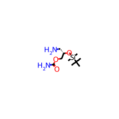 CC(C)(C)[Si](C)(C)O[C@@H](CN)COC(N)=O